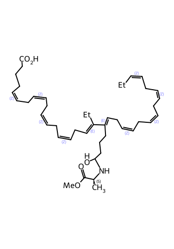 CC/C=C\C/C=C\C/C=C\C/C=C\C/C=C(CCCC(O)N[C@@H](C)C(=O)OC)/C(=C/C/C=C\C/C=C\C/C=C\C/C=C\CCCC(=O)O)CC